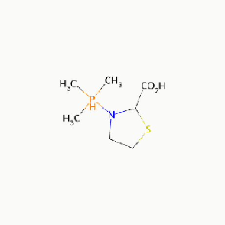 C[PH](C)(C)N1CCSC1C(=O)O